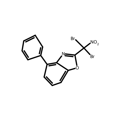 O=[N+]([O-])C(Br)(Br)c1nc2c(-c3ccccc3)cccc2o1